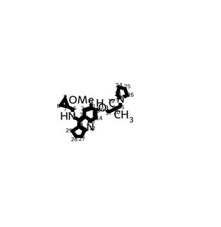 COc1cc2c(NCC3CC3)c3c(nc2cc1OCC(C)(C)CN1CCCC1)CCC3